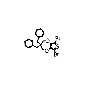 Brc1sc(Br)c2c1OCC(Cc1ccccc1)(Cc1ccccc1)CO2